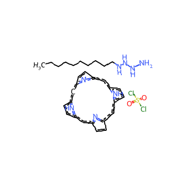 C1=Cc2cc3ccc(cc4nc(cc5ccc(cc1n2)[nH]5)C=C4)[nH]3.CCCCCCCCCCNNNN.O=S(=O)(Cl)Cl